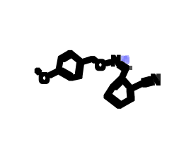 COc1ccc(CO/N=[C]\c2ccccc2C#N)cc1